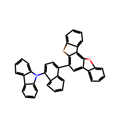 c1ccc2c(c1)oc1c2cc(-c2ccc(-n3c4ccccc4c4ccccc43)c3ccccc23)c2sc3ccccc3c21